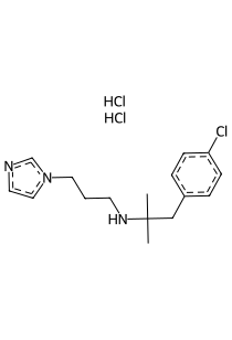 CC(C)(Cc1ccc(Cl)cc1)NCCCn1ccnc1.Cl.Cl